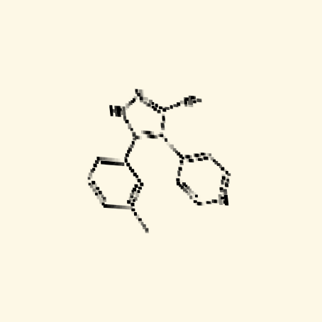 CCCc1n[nH]c(-c2cccc(C)c2)c1-c1ccncc1